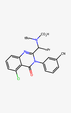 CCCC(c1nc2cccc(Cl)c2c(=O)n1-c1cccc(C#N)c1)N(C(=O)O)C(C)(C)C